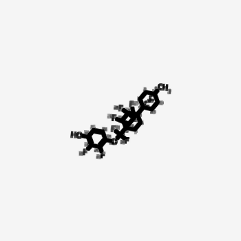 CC12CCC(C34CCC(C(F)(F)Oc5ccc(O)c(F)c5F)(CC3)C(F)C4(F)F)(CC1)CC2